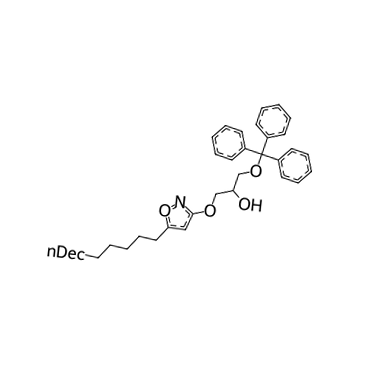 CCCCCCCCCCCCCCCc1cc(OCC(O)COC(c2ccccc2)(c2ccccc2)c2ccccc2)no1